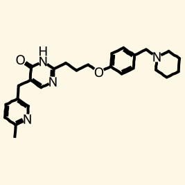 Cc1ccc(Cc2cnc(CCCOc3ccc(CN4CCCCC4)cc3)[nH]c2=O)cn1